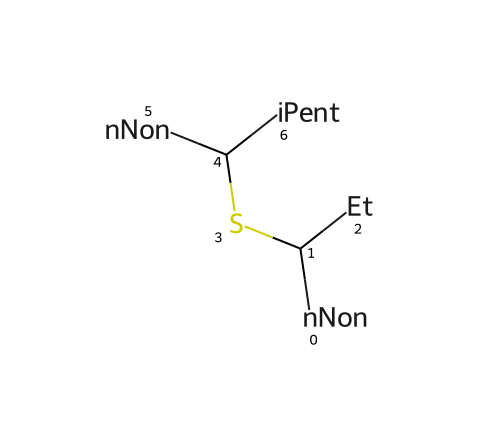 CCCCCCCCCC(CC)SC(CCCCCCCCC)C(C)CCC